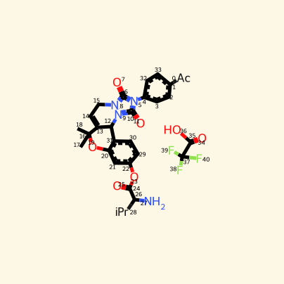 CC(=O)c1ccc(-n2c(=O)n3n(c2=O)C2C(=CC3)C(C)(C)Oc3cc(OC(=O)C(N)C(C)C)ccc32)cc1.O=C(O)C(F)(F)F